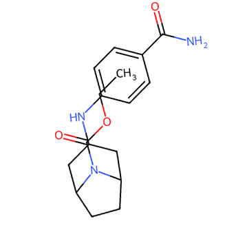 CCOC(=O)N1C2CCC1CC(Nc1ccc(C(N)=O)cc1)C2